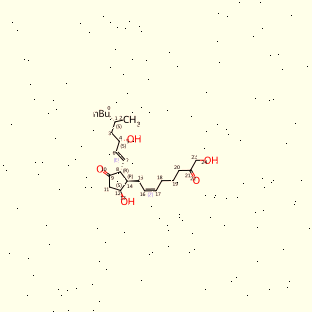 CCCC[C@H](C)C[C@H](O)/C=C/[C@H]1C(=O)C[C@H](O)[C@@H]1C/C=C\CCCC(=O)CO